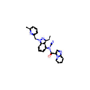 CCc1nn(Cc2cccc(C)n2)c2cccc(N(C#N)C(=O)c3cnc4ccccn34)c12